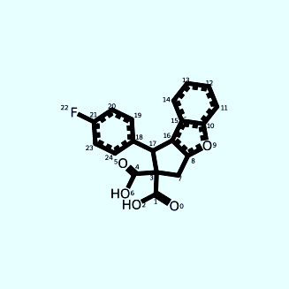 O=C(O)C1(C(=O)O)Cc2oc3ccccc3c2C1c1ccc(F)cc1